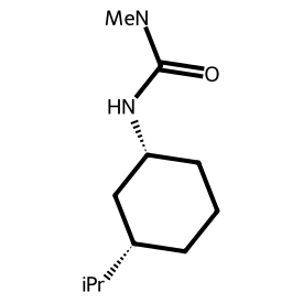 CNC(=O)N[C@@H]1CCC[C@H](C(C)C)C1